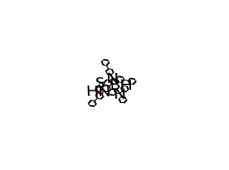 B1c2cc(-c3ccccc3)ccc2N(c2ccc(-c3ccccc3)cc2)c2cc3sc4ccccc4c3c(-c3cc(N(c4ccccc4)c4ccccc4)ccc3Nc3ccc(-c4ccccc4)cc3)c21